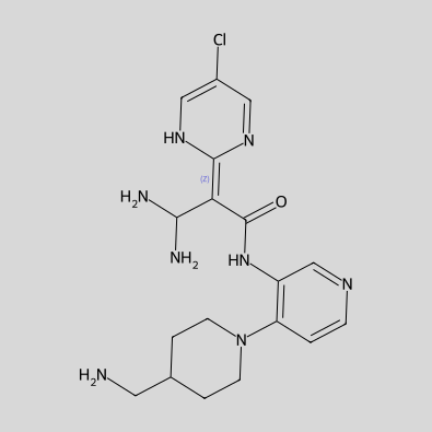 NCC1CCN(c2ccncc2NC(=O)/C(=C2\N=CC(Cl)=CN2)C(N)N)CC1